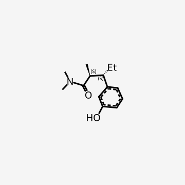 CC[C@H](c1cccc(O)c1)[C@H](C)C(=O)N(C)C